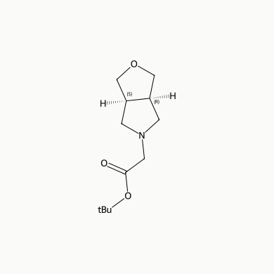 CC(C)(C)OC(=O)CN1C[C@H]2COC[C@H]2C1